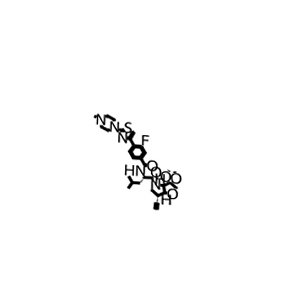 C#C[C@@H]1CN(C(=O)[C@H](CC(C)C)NC(=O)c2ccc(-c3csc(N4CCN(C)CC4)n3)c(F)c2)[C@H]2[C@@H]1OCC2(OC)OC